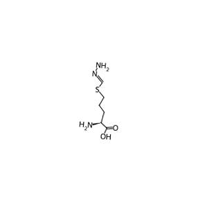 NN=CSCCC[C@H](N)C(=O)O